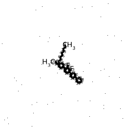 CCCCCCCCCC1(CCC)C=CC(c2ccc(-c3ccc(-c4ccccc4)cc3)c(F)c2F)=CC1